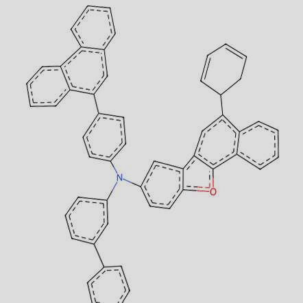 C1=CCC(c2cc3c4cc(N(c5ccc(-c6cc7ccccc7c7ccccc67)cc5)c5cccc(-c6ccccc6)c5)ccc4oc3c3ccccc23)C=C1